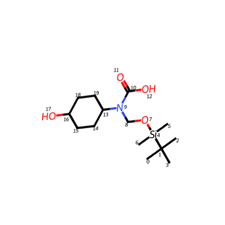 CC(C)(C)[Si](C)(C)OCN(C(=O)O)C1CCC(O)CC1